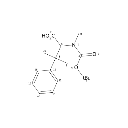 CN(C(=O)OC(C)(C)C)C(C(=O)O)C(C)(C)c1ccccc1